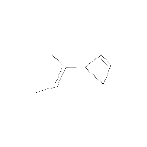 CC=C(C)C1C=CC1